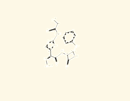 CO/N=C(\C(=O)N[C@@H]1C(=O)N[C@H]1Sc1ccccc1)c1csc(NC(=O)CCl)n1